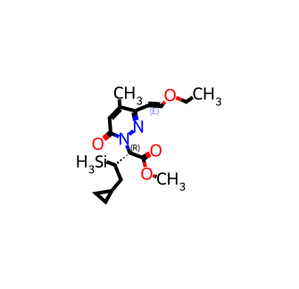 CCO/C=C/c1nn([C@H](C(=O)OC)C([SiH3])CC2CC2)c(=O)cc1C